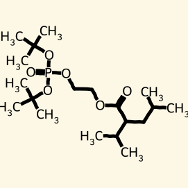 CC(C)CC(C(=O)OCCOP(=O)(OC(C)(C)C)OC(C)(C)C)C(C)C